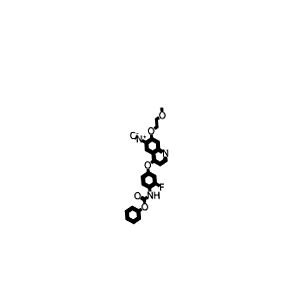 [C-]#[N+]c1cc2c(Oc3ccc(NC(=O)Oc4ccccc4)c(F)c3)ccnc2cc1OCCOC